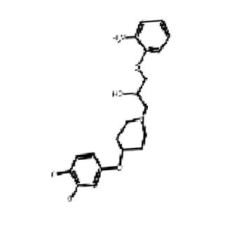 Nc1ccccc1OCC(O)CN1CCC(Oc2ccc(Cl)c(Cl)c2)CC1